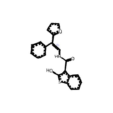 O=C(N/C=C(\c1ccccc1)c1ccco1)c1c(O)sc2ccccc12